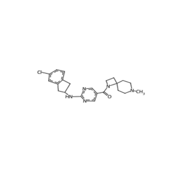 CN1CCC2(CC1)CCN2C(=O)c1cnc(NC2Cc3ccc(Cl)cc3C2)nc1